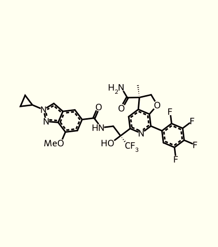 COc1cc(C(=O)NC[C@](O)(c2cc3c(c(-c4cc(F)c(F)c(F)c4F)n2)OC[C@]3(C)C(N)=O)C(F)(F)F)cc2cn(C3CC3)nc12